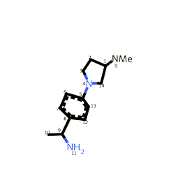 CNC1CCN(c2ccc(C(C)N)cc2)C1